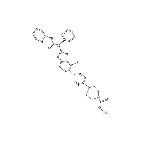 CC(C)(C)OC(=O)N1CCN(c2ccc(-c3ccc4cn([C@@H](C(=O)Nc5ccccn5)c5ccccc5)nc4c3F)cn2)CC1